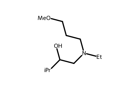 CCN(CCCOC)CC(O)C(C)C